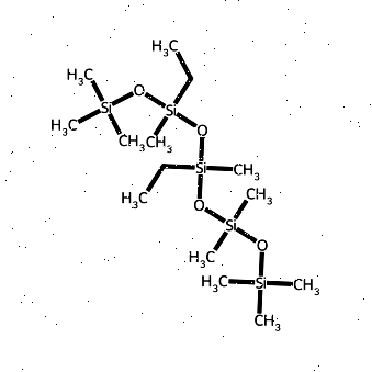 CC[Si](C)(O[Si](C)(C)C)O[Si](C)(CC)O[Si](C)(C)O[Si](C)(C)C